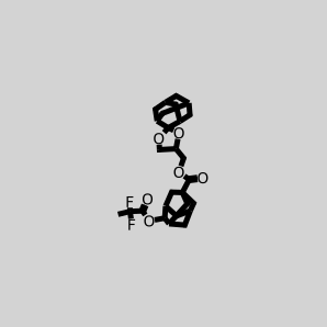 CC(F)(F)C(=O)OC1C2CC3CC1CC(C(=O)OCC1COC4(O1)C1CC5CC(C1)CC4C5)(C3)C2